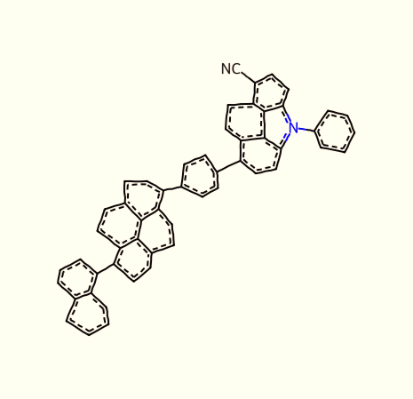 N#Cc1ccc2c3c1ccc1c(-c4ccc(-c5ccc6ccc7c(-c8cccc9ccccc89)ccc8ccc5c6c87)cc4)ccc(c13)n2-c1ccccc1